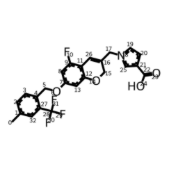 Cc1ccc(COc2cc(F)c3c(c2)OCC(Cn2ccc(C(=O)O)c2)=C3)c(C(F)(F)F)c1